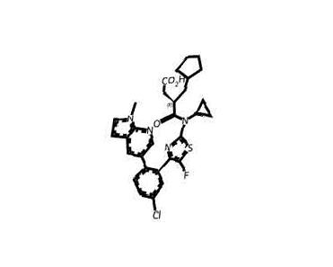 Cn1ccc2cc(-c3ccc(Cl)cc3-c3nc(N(C(=O)[C@@H](CC(=O)O)CC4CCCC4)C4CC4)sc3F)cnc21